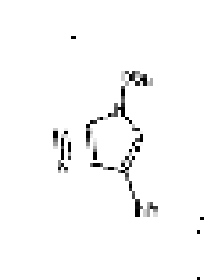 C#N.CCCCn1ccc(CCC)c1